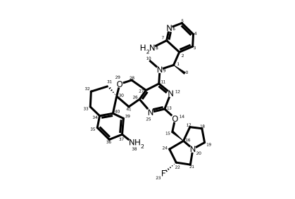 C[C@H](c1cccnc1N)N(C)c1nc(OC[C@@]23CCCN2C[C@H](F)C3)nc2c1CO[C@@]1(CCCc3ccc(N)cc31)C2